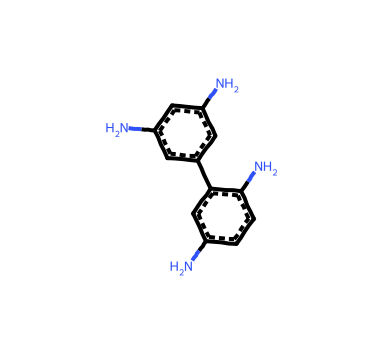 Nc1cc(N)cc(-c2cc(N)ccc2N)c1